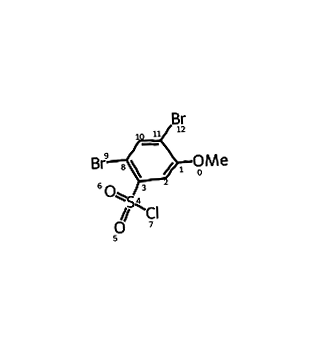 COc1cc(S(=O)(=O)Cl)c(Br)cc1Br